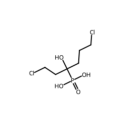 O=P(O)(O)C(O)(CCCl)CCCCl